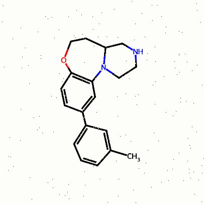 Cc1cccc(-c2ccc3c(c2)N2CCNCC2CCO3)c1